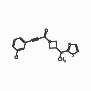 CN(c1nccs1)C1CN(C(=O)C#Cc2cccc(Cl)c2)C1